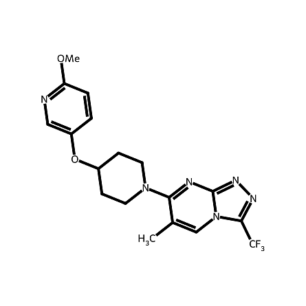 COc1ccc(OC2CCN(c3nc4nnc(C(F)(F)F)n4cc3C)CC2)cn1